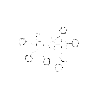 CO[C@H]1O[C@H](CO[C@@H]2O[C@H](COC(=O)c3ccccc3)[C@@H](OC(=O)c3ccccc3)[C@H](OC(=O)c3ccccc3)[C@@H]2C(F)(F)F)[C@@H](OCc2ccccc2)C(OCc2ccccc2)[C@H]1OCc1ccccc1